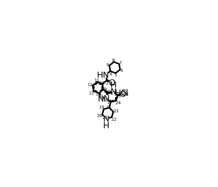 Cl.O=C(NC1CCCCC1)c1cccc2nn3c(C4CCNCC4)cc(=O)[nH]c3c12